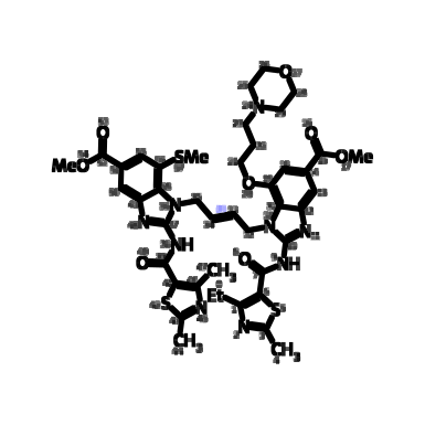 CCc1nc(C)sc1C(=O)Nc1nc2cc(C(=O)OC)cc(OCCCN3CCOCC3)c2n1C/C=C/Cn1c(NC(=O)c2sc(C)nc2C)nc2cc(C(=O)OC)cc(SC)c21